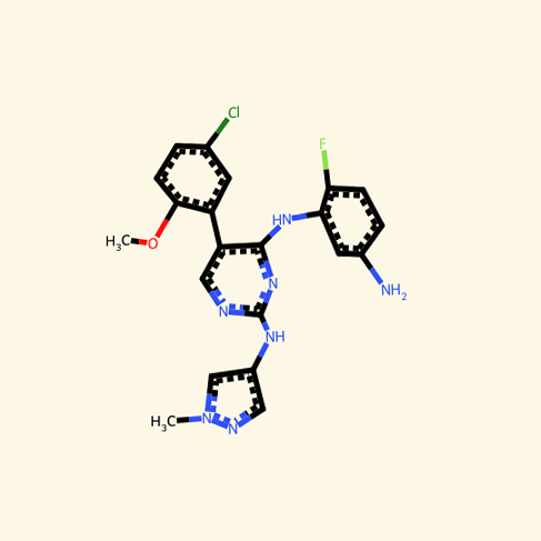 COc1ccc(Cl)cc1-c1cnc(Nc2cnn(C)c2)nc1Nc1cc(N)ccc1F